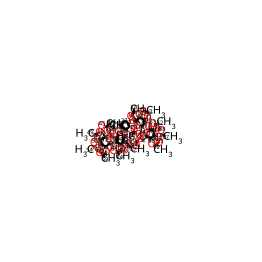 CC(=O)OC[C@H]1O[C@@H](O[C@H]2[C@H](OC(C)=O)[C@@H](OC(C)=O)[C@H](Oc3cccc(O[C@@H]4O[C@H](COC(C)=O)[C@@H](O[C@@H]5O[C@H](COC(C)=O)[C@@H](OC(C)=O)[C@H](OC(C)=O)[C@H]5OC(C)=O)[C@H](OC(C)=O)[C@H]4OC(C)=O)c3)O[C@@H]2COC(C)=O)[C@H](OC(C)=O)[C@@H](OC(C)=O)[C@@H]1OC(C)=O